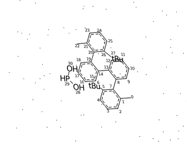 Cc1cccc(C(C)(C)C)c1-c1ccccc1-c1ccccc1-c1c(C)cccc1C(C)(C)C.OPO